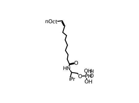 CCCCCCCC/C=C\CCCCCCCC(=O)NC(CO[PH](O)(O)O)C(C)C